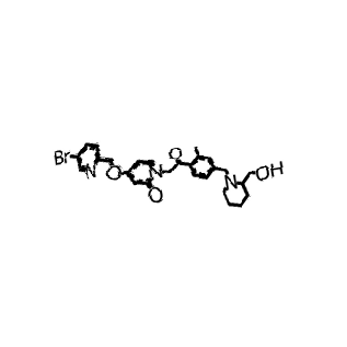 Cc1cc(CN2CCCCC2CO)ccc1C(=O)Cn1ccc(OCc2ccc(Br)cn2)cc1=O